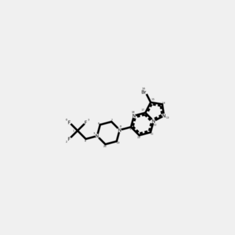 FC(F)(F)CN1CCN(c2ccn3ncc(Br)c3n2)CC1